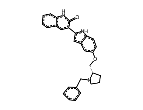 O=c1[nH]c2ccccc2cc1-c1cc2cc(OC[C@@H]3CCCN3Cc3ccccc3)ccc2[nH]1